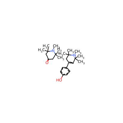 CN1C(C)(C)C=C(c2ccc(O)cc2)CC1(C)C.CN1C(C)(C)CC(=O)CC1(C)C